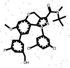 COc1cc2c(cc1-c1cc(F)cc(CO)c1)-c1c(c(C(=O)N(C)C(C)(C)C)nn1-c1cc(Cl)cc(Cl)c1)CO2